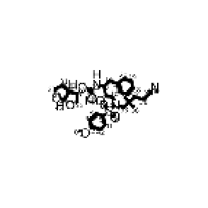 COc1ccc(S(=O)(=O)N(CC(O)C(Cc2ccccc2)NC(=O)O[C@@H]2CO[C@H]3OCC[C@H]32)CC(C)(C)CCC#N)cc1